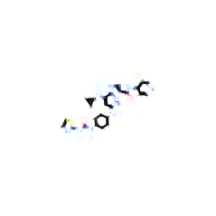 O=C(Nc1nccs1)N[C@H]1CC[C@H](Nc2cc(NC3CC3)c3ncc(C(=O)Nc4ccncc4F)n3n2)CC1